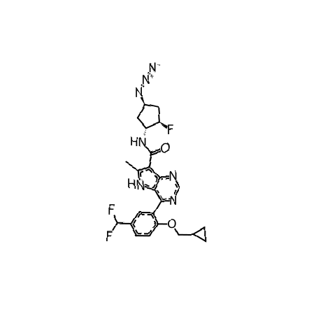 Cc1[nH]c2c(-c3cc(C(F)F)ccc3OCC3CC3)ncnc2c1C(=O)N[C@@H]1C[C@@H](N=[N+]=[N-])C[C@H]1F